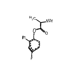 CNC(C)C(=O)Oc1ccc(F)cc1F